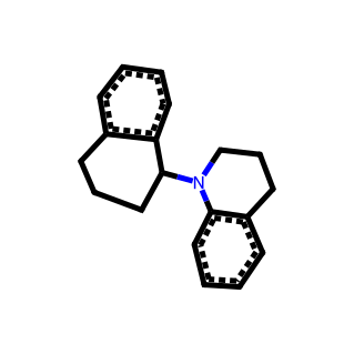 c1ccc2c(c1)CCCC2N1CCCc2ccccc21